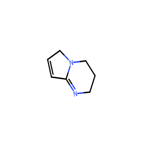 C1=CC2=NCCCN2C1